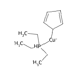 CC[PH](CC)(CC)[Cu-][CH]1C=CC=C1